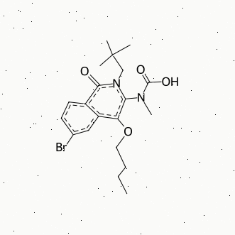 CCCCOc1c(N(C)C(=O)O)n(CC(C)(C)C)c(=O)c2ccc(Br)cc12